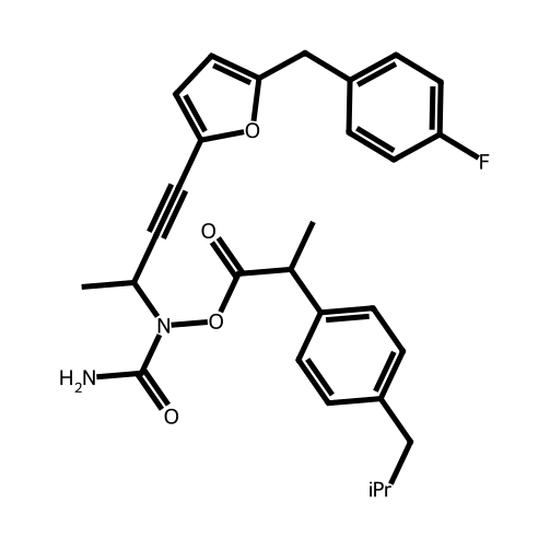 CC(C)Cc1ccc(C(C)C(=O)ON(C(N)=O)C(C)C#Cc2ccc(Cc3ccc(F)cc3)o2)cc1